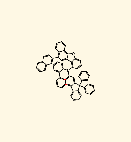 c1ccc(-c2ccccc2N(c2ccc3c(c2)C(c2ccccc2)(c2ccccc2)c2ccccc2-3)c2cccc3oc4c5ccccc5c(-c5ccc6ccccc6c5)cc4c23)cc1